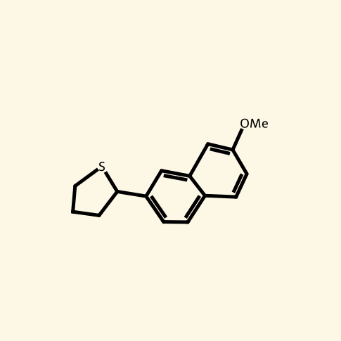 COc1ccc2ccc(C3CCCS3)cc2c1